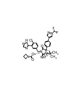 CC(C)(C)C[C@]1(c2ccc(-c3cnn(C(F)F)c3)cc2)NC(=N)N([C@H](COC(=O)N2CCC2)c2ccc(Cl)c(-c3ncn[nH]3)c2)C1=O